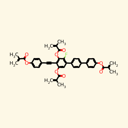 C=C(C)C(=O)Oc1ccc(C#Cc2c(OC(=O)C(=C)C)cc(-c3ccc(-c4ccc(OC(=O)C(=C)C)cc4)cc3)c(F)c2OC(=O)C(=C)C)cc1